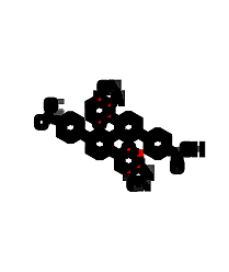 O=[N+]([O-])c1ccc(-c2ccc(-c3ccccc3)c(-c3c(-c4ccccc4)ccc(-c4ccc([N+](=O)O)cc4)c3OCN3N=[C+]N=N3)c2OCN2N=[C+]N=N2)cc1